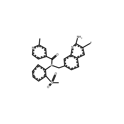 Cc1cc(C(=O)N(Cc2ccc3cc(F)c(N)nc3c2)c2ccccc2S(C)(=O)=O)ccn1